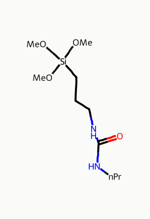 CCCNC(=O)NCCC[Si](OC)(OC)OC